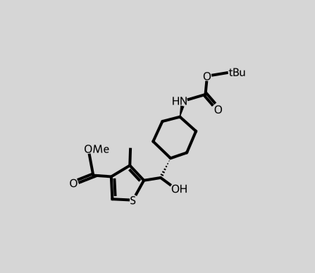 COC(=O)c1csc(C(O)[C@H]2CC[C@H](NC(=O)OC(C)(C)C)CC2)c1C